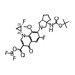 COc1c(N2CC3CCCC3(NC(=O)OC(C)(C)C)C2)c(F)cc2c(=O)c(C(=O)OB(F)F)cn([C@@H]3C[C@@H]3F)c12